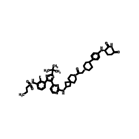 CCCS(=O)(=O)Nc1cccc(-c2nc(C(C)(C)C)sc2-c2ccnc(NC3CC4(CCN(C(=O)CN5CCC(c6ccc(N[C@@H]7CCC(=O)NC7=O)cc6)CC5)CC4)C3)n2)c1F